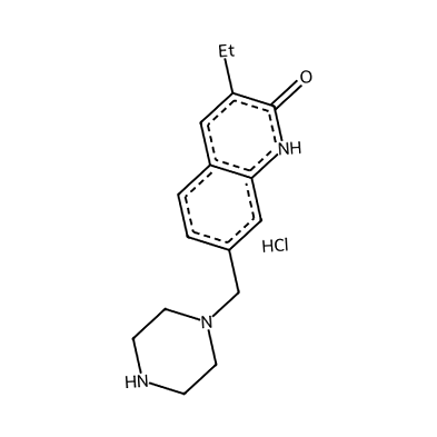 CCc1cc2ccc(CN3CCNCC3)cc2[nH]c1=O.Cl